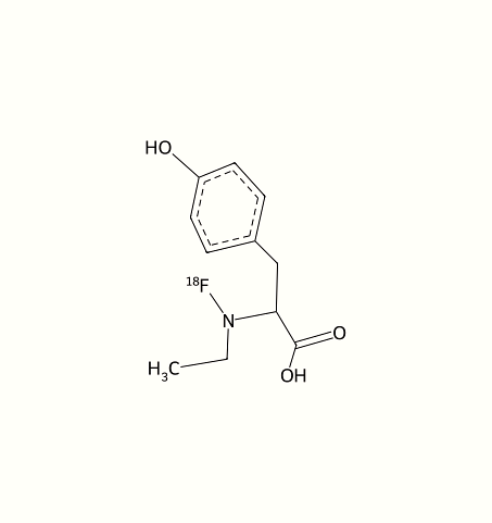 CCN([18F])C(Cc1ccc(O)cc1)C(=O)O